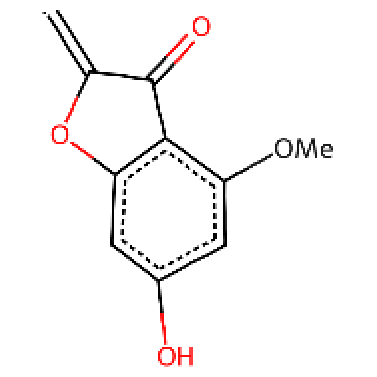 [CH]=C1Oc2cc(O)cc(OC)c2C1=O